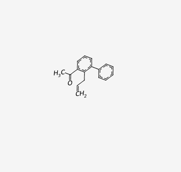 C=CCc1c(C(C)=O)cccc1-c1ccccc1